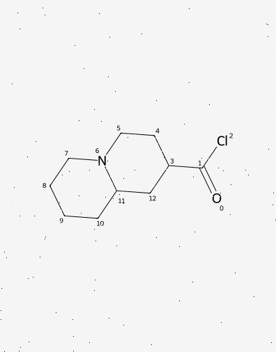 O=C(Cl)C1CCN2CCCCC2C1